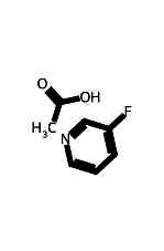 CC(=O)O.Fc1cccnc1